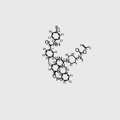 C=C(C)OC(=O)N(C)C1CCN(c2nc(-c3cc(C(=O)Nc4ccc(F)cc4)ccc3C)c3ccc(=O)n(-c4c(F)cccc4F)c3n2)CC1